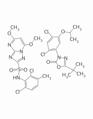 CC(C)Oc1cc(-n2nc(C(C)(C)C)oc2=O)c(Cl)cc1Cl.COc1cc(OC)n2nc(S(=O)(=O)Nc3c(Cl)ccc(C)c3Cl)nc2n1